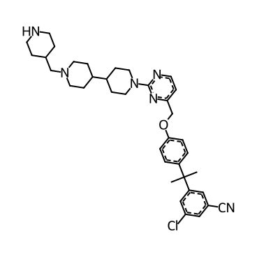 CC(C)(c1ccc(OCc2ccnc(N3CCC(C4CCN(CC5CCNCC5)CC4)CC3)n2)cc1)c1cc(Cl)cc(C#N)c1